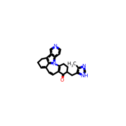 Cc1nc[nH]c1CC1CCC2=C(C=CC3=CCCc4c3n2c2ccncc42)C1=O